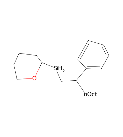 CCCCCCCCC(C[SiH2]C1CCCCO1)c1ccccc1